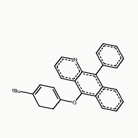 CC(C)(C)C1=CC=C(Oc2c3ccccc3c(-c3ccccc3)c3ncccc23)CC1